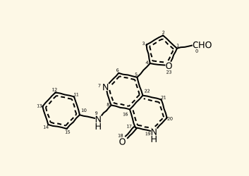 O=Cc1ccc(-c2cnc(Nc3ccccc3)c3c(=O)[nH]ccc23)o1